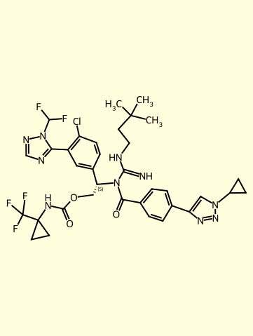 CC(C)(C)CCNC(=N)N(C(=O)c1ccc(-c2cn(C3CC3)nn2)cc1)[C@H](COC(=O)NC1(C(F)(F)F)CC1)c1ccc(Cl)c(-c2ncnn2C(F)F)c1